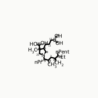 C=C(C[C@@H](C)[C@H](CCC)N1CC(CCCB(O)O)[C@](C)(C(O)O)C1)[C@@H](CC)CCCCC